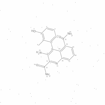 Cc1c(O)cccc1-c1c(N)c(C(N)=O)nc2cccc(C(N)=O)c12